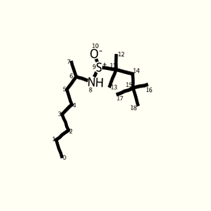 CCCCCCC(C)N[S+]([O-])C(C)(C)CC(C)(C)C